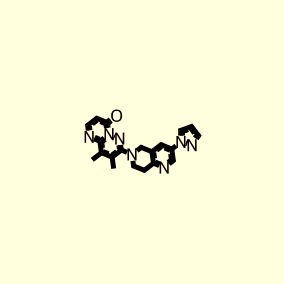 Cc1c(N2CCc3ncc(-n4cccn4)cc3C2)nn2c(=O)ccnc2c1C